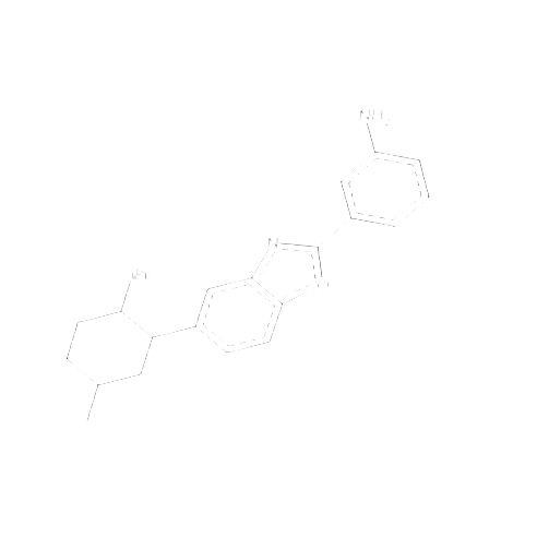 CC1CCC(C(C)C)C(c2ccc3oc(-c4cccc(N)c4)nc3c2)C1